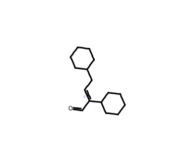 O=C/C(=C/CC1CCCCC1)C1CCCCC1